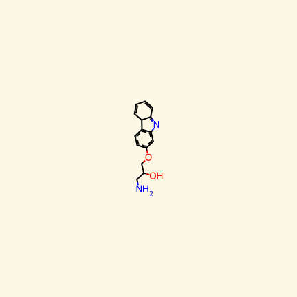 NCC(O)COc1ccc2c(c1)N=C1C=CC=CC12